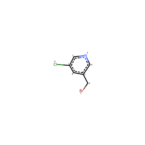 Clc1cncc(CBr)c1